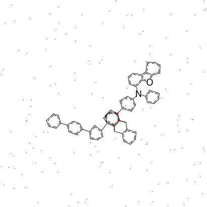 c1ccc(-c2ccc(-c3cccc(-c4ccc(-c5ccc(N(c6ccccc6)c6cccc7c6oc6ccccc67)cc5)c5c4C4c6ccccc6C5c5ccccc54)c3)cc2)cc1